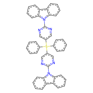 c1ccc(S(c2ccccc2)(c2cnc(-n3c4ccccc4c4ccccc43)nc2)c2cnc(-n3c4ccccc4c4ccccc43)nc2)cc1